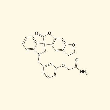 NC(=O)COc1cccc(CN2CC3(C(=O)Oc4cc5c(cc43)CCO5)c3ccccc32)c1